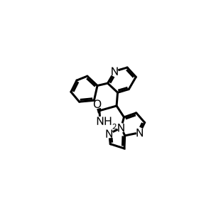 NC(=O)C(c1cccnc1-c1ccccc1)c1ccnc2ccnn12